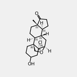 C[C@]12CC[C@H]3[C@@H](C[C@H]4OC[C@@]35CCC(O)C[C@]45Cl)[C@@H]1CCC2=O